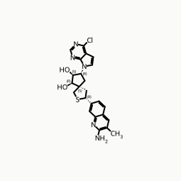 Cc1cc2ccc([C@H]3C[C@@]4(CS3)C[C@@H](n3ccc5c(Cl)ncnc53)[C@H](O)[C@@H]4O)cc2nc1N